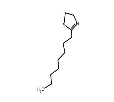 CCCCCCC[CH]C1=NCCS1